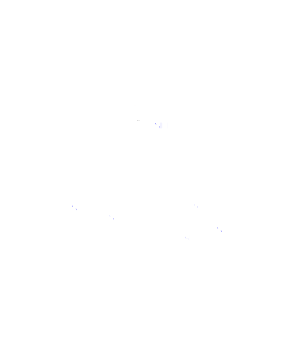 CN1CCN(c2ccc(Nc3ncc4cccc(-c5cccc(NC(=O)/C=C/F)c5)c4n3)cc2)CC1